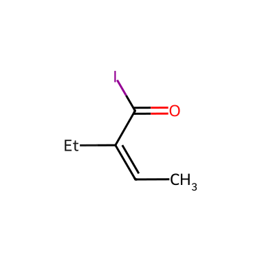 CC=C(CC)C(=O)I